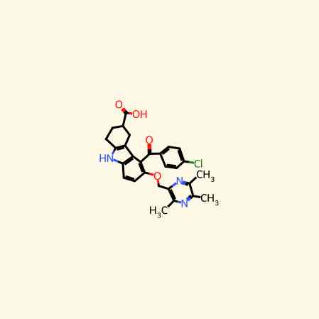 Cc1nc(C)c(COc2ccc3[nH]c4c(c3c2C(=O)c2ccc(Cl)cc2)CC(C(=O)O)CC4)nc1C